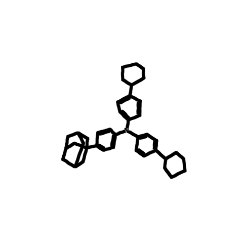 c1cc(N(c2ccc(C3CCCCC3)cc2)c2ccc(C34CC5CC(CC(C5)C3)C4)cc2)ccc1C1CCCCC1